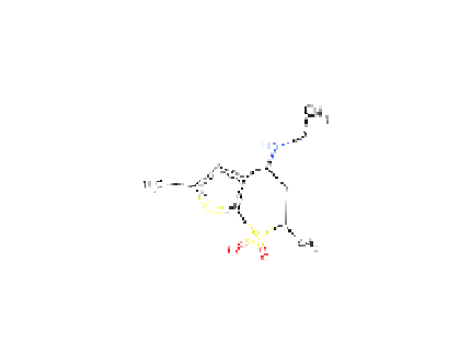 CCNC1CC(C)S(=O)(=O)c2sc(C)cc21